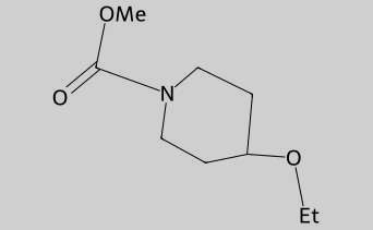 [CH2]COC1CCN(C(=O)OC)CC1